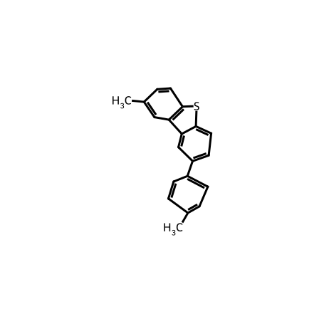 Cc1ccc(-c2ccc3sc4ccc(C)cc4c3c2)cc1